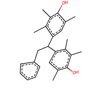 Cc1cc(C(Cc2ccccc2)c2cc(C)c(O)c(C)c2C)c(C)c(C)c1O